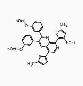 CCCCCCCCOc1cccc(-c2nc3c(-c4ccc(C)s4)cnc(-c4sc(C)cc4CCCCCCCC)c3nc2-c2cccc(OCCCCCCCC)c2)c1